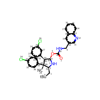 CC(C)(C)C[C@@H]1N[C@H](OC(=O)NCc2cnc3ccccc3c2)[C@H](c2cccc(Cl)c2)[C@@]1(C#N)c1ccc(Cl)cc1